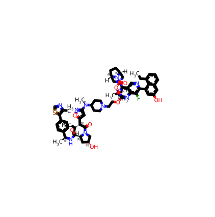 CCc1cccc2cc(O)cc(-c3ncc4c(N5C[C@H]6CC[C@@H](C5)N6C(=O)OC(C)(C)C)nc(OCCN5CCC(N(C)c6cc([C@H](C(=O)N7C[C@H](O)C[C@H]7C(=O)N[C@@H](C)c7ccc(-c8scnc8C)cc7)C(C)C)on6)CC5)nc4c3F)c12